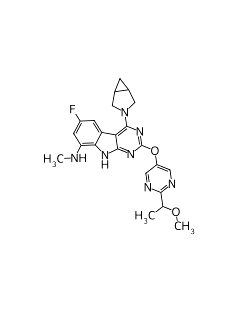 CNc1cc(F)cc2c1[nH]c1nc(Oc3cnc(C(C)OC)nc3)nc(N3CC4CC4C3)c12